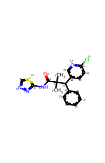 CC(C)(C(=O)Nc1nncs1)C(c1ccccc1)c1ccc(Cl)nc1